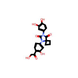 O=C(CO)c1ccc(N2C(=O)N(c3ccc(O)c(O)c3)C(=O)C23CCC3)cc1O